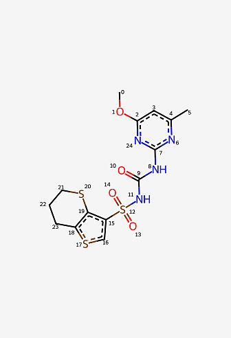 COc1cc(C)nc(NC(=O)NS(=O)(=O)c2csc3c2SCCC3)n1